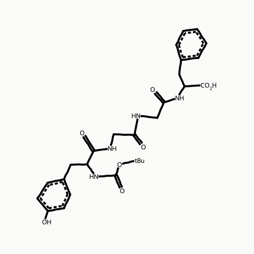 CC(C)(C)OC(=O)NC(Cc1ccc(O)cc1)C(=O)NCC(=O)NCC(=O)NC(Cc1ccccc1)C(=O)O